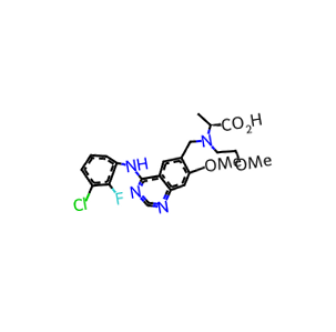 COCCN(Cc1cc2c(Nc3cccc(Cl)c3F)ncnc2cc1OC)[C@@H](C)C(=O)O